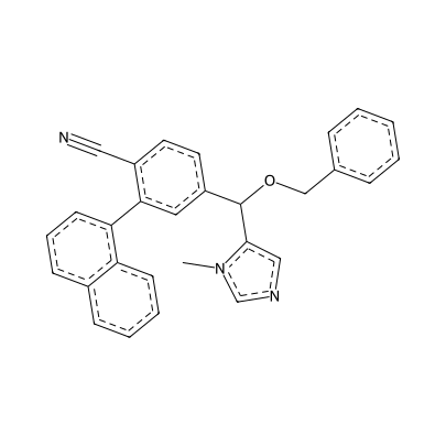 Cn1cncc1C(OCc1ccccc1)c1ccc(C#N)c(-c2cccc3ccccc23)c1